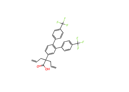 C=CCC(CC=C)(C(=O)O)c1ccc(-c2ccc(C(F)(F)F)cc2)c(-c2ccc(C(F)(F)F)cc2)c1